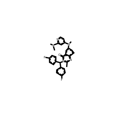 Cc1nc2ccc(N(C)c3ccnc(N(C)C)c3)cc2c(=O)n1C(c1ccc(F)cc1)c1ccc(F)cc1